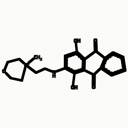 C[N+]1(CCNc2cc(O)c3c(c2O)C(=O)c2ccccc2C3=O)CCOCC1